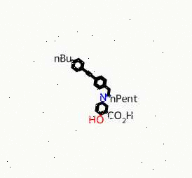 CCCCCC(Cc1ccc(C#Cc2ccc(CCCC)cc2)cc1)N=C1C=CC(O)=C(C(=O)O)C1